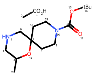 CC(=O)O.CC1CNCC2(CCN(C(=O)OC(C)(C)C)CC2)O1